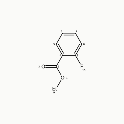 CCOC(=O)c1cc[c]cc1F